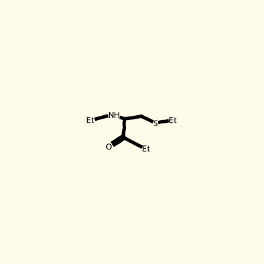 CCNC(CSCC)C(=O)CC